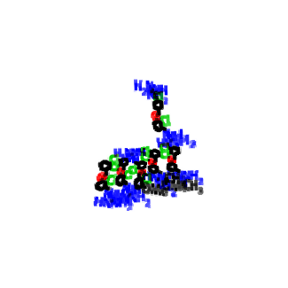 C/N=C(\N)NCc1cccc(OCc2cccc(Cl)c2Cl)c1.COC(C)N(Cc1cccc(OCc2cccc(Cl)c2Cl)c1)C(=N)N.COc1cccc(COc2cccc(/C=N/NC(=N)N)c2Cl)c1Cl.N=C(N)N.N=C(N)N/N=C/c1cccc(OCc2ccc(Cl)cc2)c1Cl.N=C(N)N/N=C/c1cccc(OCc2cccc(Cl)c2Cl)c1Cl.N=C(N)N/N=C/c1cccc(OCc2ccccc2)c1Cl